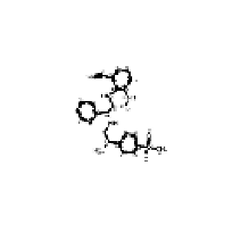 C[C@@H](CN[C@H](c1ccccc1)[C@H]1CNc2cccc(C#N)c2N1)c1ccc(S(C)(=O)=O)cc1